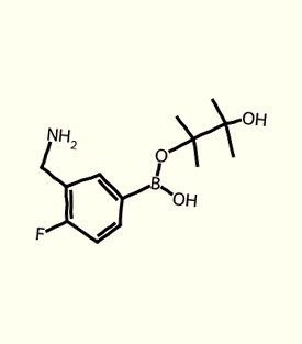 CC(C)(O)C(C)(C)OB(O)c1ccc(F)c(CN)c1